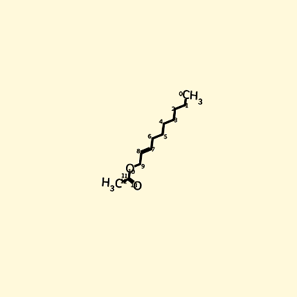 CCCCCCCC=CCOC(C)=O